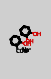 O=C([O-])c1ccccc1O.Oc1ccccc1O.[Na+]